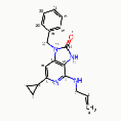 C=CCNc1nc(C2CC2)cc2c1[nH]c(=O)n2Cc1ccccc1